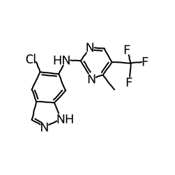 Cc1nc(Nc2cc3[nH]ncc3cc2Cl)ncc1C(F)(F)F